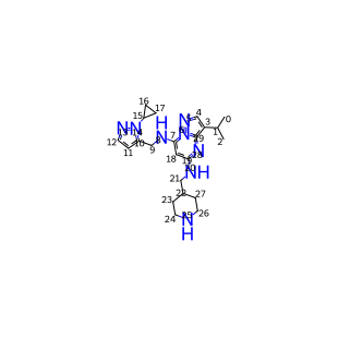 CC(C)c1cnn2c(NCc3ccnn3C3CC3)cc(NCC3CCNCC3)nc12